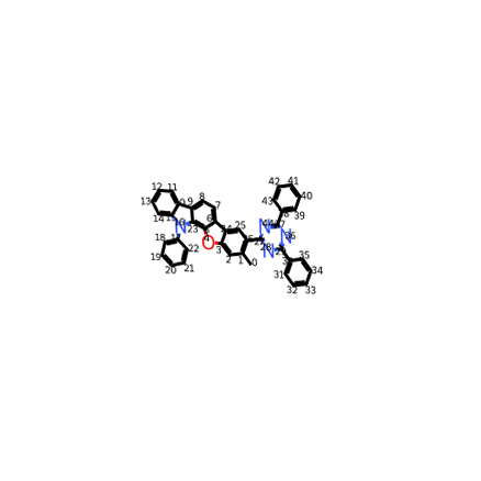 Cc1cc2oc3c(ccc4c5ccccc5n(-c5ccccc5)c43)c2cc1-c1nc(-c2ccccc2)nc(-c2ccccc2)n1